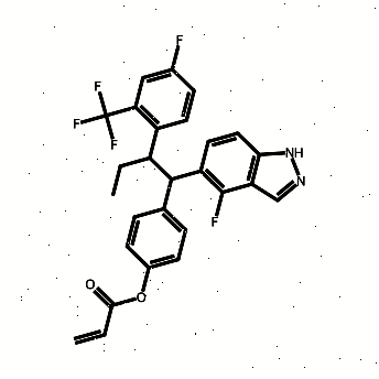 C=CC(=O)Oc1ccc(C(c2ccc3[nH]ncc3c2F)C(CC)c2ccc(F)cc2C(F)(F)F)cc1